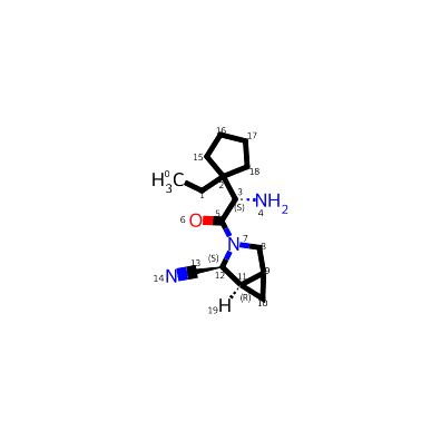 CCC1([C@H](N)C(=O)N2CC3C[C@H]3[C@H]2C#N)CCCC1